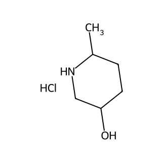 CC1CCC(O)CN1.Cl